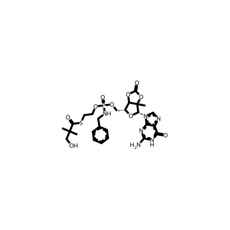 CC(C)(CO)C(=O)SCCOP(=O)(NCc1ccccc1)OC[C@H]1O[C@@H](n2cnc3c(=O)[nH]c(N)nc32)C2(C)OC(=O)OC12